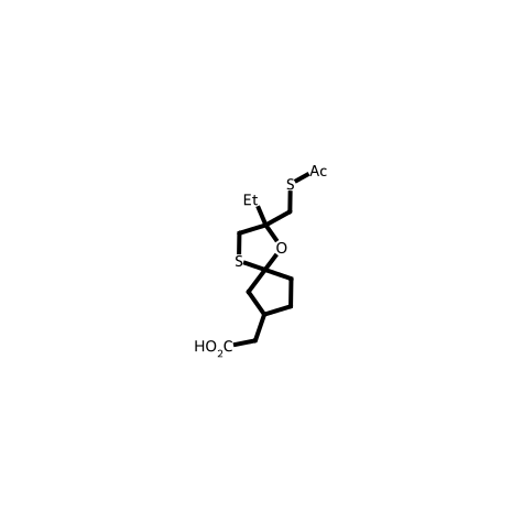 CCC1(CSC(C)=O)CSC2(CCC(CC(=O)O)C2)O1